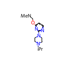 CNCOc1ccnc(N2CCN(C(C)C)CC2)n1